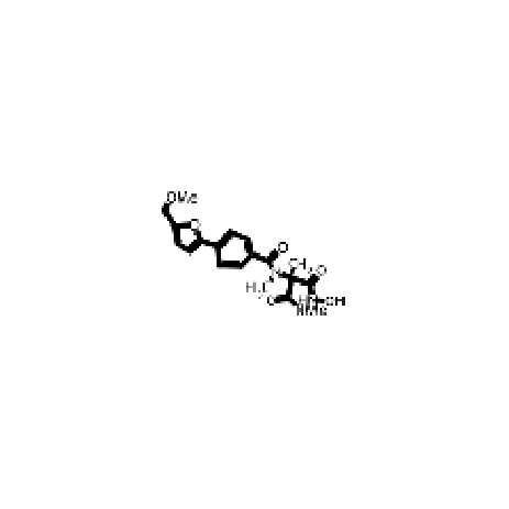 CNC(=O)[C@@](C)(C(=O)NO)N(C)C(=O)c1ccc(-c2ccc(COC)o2)cc1